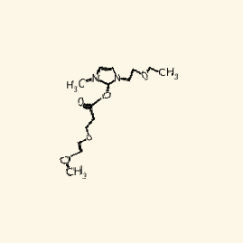 CCOCCN1C=CN(C)C1OC(=O)CCOCCOC